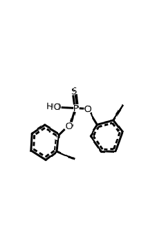 Cc1ccccc1OP(O)(=S)Oc1ccccc1C